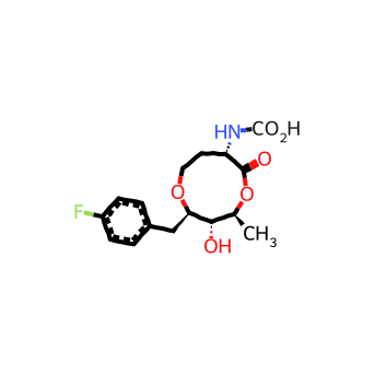 C[C@@H]1OC(=O)[C@@H](NC(=O)O)CCO[C@H](Cc2ccc(F)cc2)[C@H]1O